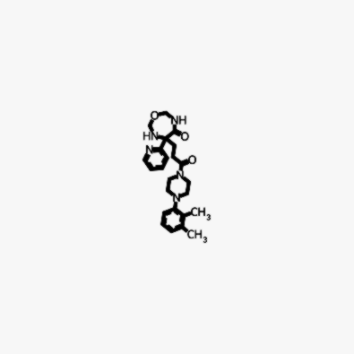 Cc1cccc(N2CCN(C(=O)CCC3(c4ccccn4)NCOCNC3=O)CC2)c1C